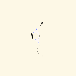 C=CCN1C=CN(CCCCCCCC)C1